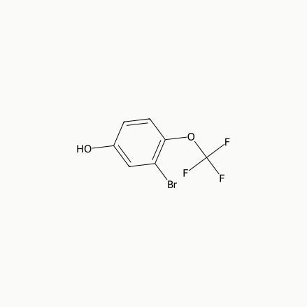 Oc1ccc(OC(F)(F)F)c(Br)c1